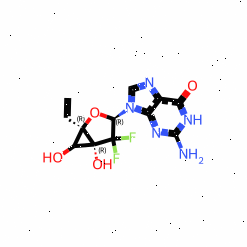 C=C[C@]12O[C@@H](n3cnc4c(=O)[nH]c(N)nc43)C(F)(F)[C@@]1(O)C2O